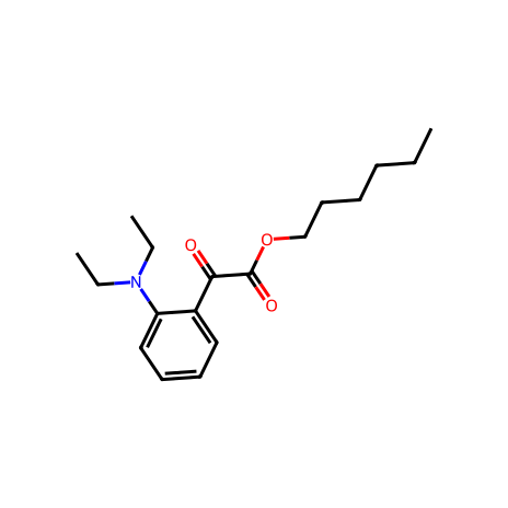 CCCCCCOC(=O)C(=O)c1ccccc1N(CC)CC